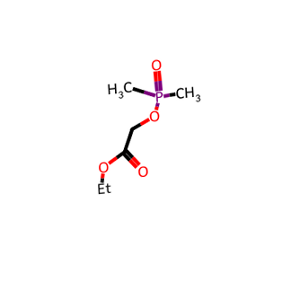 CCOC(=O)COP(C)(C)=O